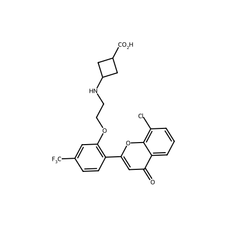 O=C(O)C1CC(NCCOc2cc(C(F)(F)F)ccc2-c2cc(=O)c3cccc(Cl)c3o2)C1